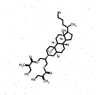 C=C(CS)C(=O)OCC(COC(=O)C(=C)CS)[C@H]1CC[C@@]2(C)[C@@H](CC[C@@H]3[C@@H]2CC[C@]2(C)[C@@H]([C@H](C)CCCC(C)C)CC[C@@H]32)C1